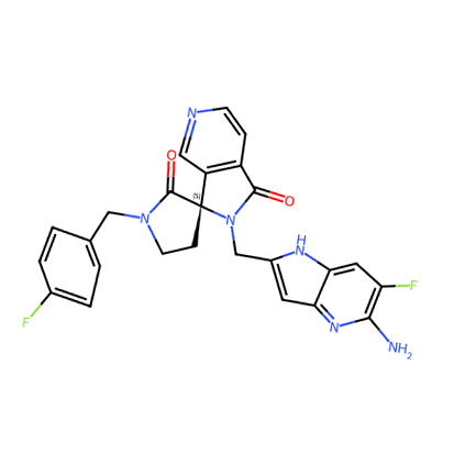 Nc1nc2cc(CN3C(=O)c4ccncc4[C@]34CCN(Cc3ccc(F)cc3)C4=O)[nH]c2cc1F